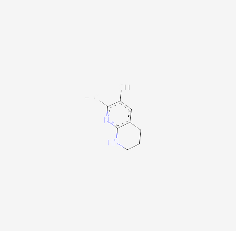 Cc1cc2c(nc1C)NCCC2